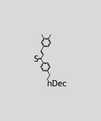 CCCCCCCCCCCCc1ccc(C(=S)C=Cc2ccc(C)c(C)c2)cc1